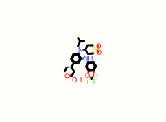 CC[C@@H](CC(=O)O)c1ccc(N(CC(C)C)C2CCS(=O)(=O)CC2)c(Nc2ccc3c(c2)OC(F)(F)O3)c1